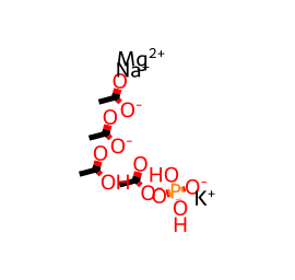 CC(=O)O.CC(=O)[O-].CC(=O)[O-].CC(=O)[O-].O=P([O-])(O)O.[K+].[Mg+2].[Na+]